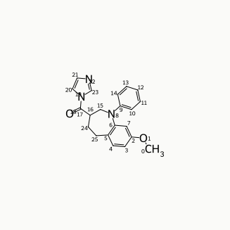 COc1ccc2c(c1)N(c1ccccc1)CC(C(=O)n1ccnc1)CC2